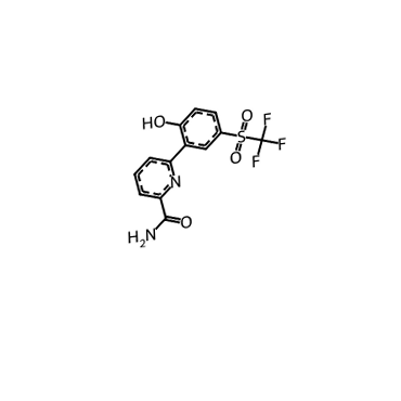 NC(=O)c1cccc(-c2cc(S(=O)(=O)C(F)(F)F)ccc2O)n1